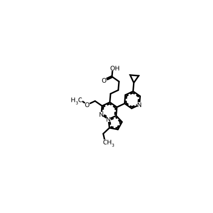 CCc1ccc2c(-c3cncc(C4CC4)c3)c(CCCC(=O)O)c(COC)nn12